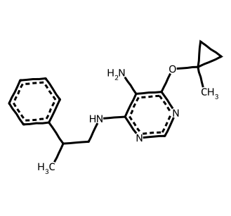 CC(CNc1ncnc(OC2(C)CC2)c1N)c1ccccc1